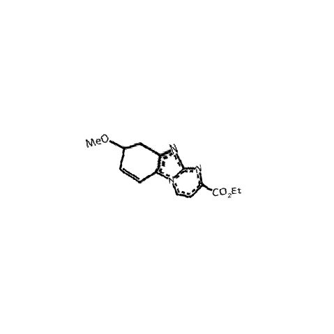 CCOC(=O)c1ccn2c3c(nc2n1)CC(OC)C=C3